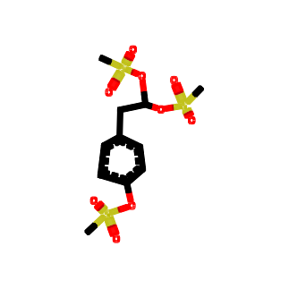 CS(=O)(=O)Oc1ccc(CC(OS(C)(=O)=O)OS(C)(=O)=O)cc1